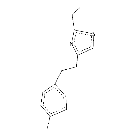 CCc1nc(CCc2ccc(C)cc2)cs1